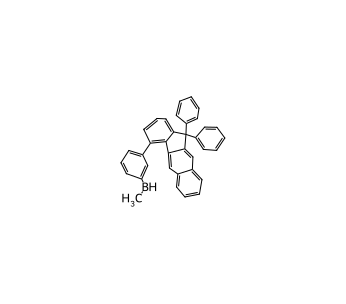 CBc1cccc(-c2cccc3c2-c2cc4ccccc4cc2C3(c2ccccc2)c2ccccc2)c1